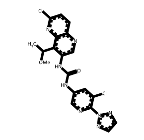 COC(C)c1c(NC(=O)Nc2cnc(-n3nccn3)c(Cl)c2)cnc2ccc(Cl)nc12